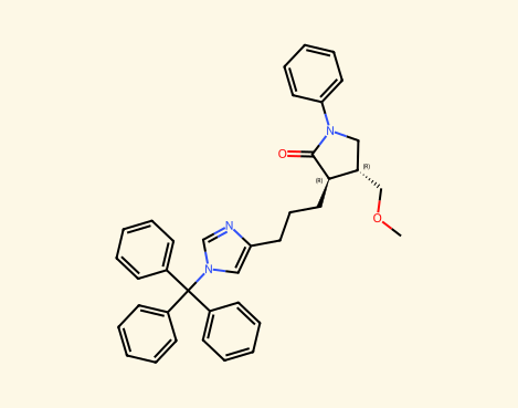 COC[C@H]1CN(c2ccccc2)C(=O)[C@@H]1CCCc1cn(C(c2ccccc2)(c2ccccc2)c2ccccc2)cn1